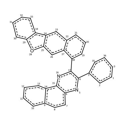 c1ccc(-c2nc3ccc4ccccc4c3nc2-c2cccc3cc4c(cc23)oc2ccccc24)cc1